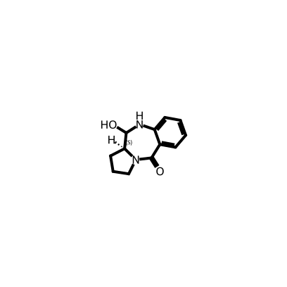 O=C1c2ccccc2NC(O)[C@@H]2CCCN12